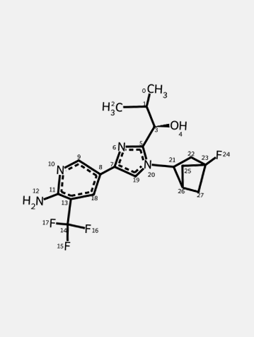 CC(C)[C@@H](O)c1nc(-c2cnc(N)c(C(F)(F)F)c2)cn1C1CC2(F)CC1C2